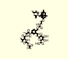 C=C(C)N(CC12CC3(C)CC(C)(C1)CC(OCCNC(=O)OCc1ccc(NC(=O)[C@H](C)NC(=O)[C@@H](NC(=O)CNC(C)=O)C(C)C)cc1CC[C@@H]1O[C@H](C(=O)O)[C@@H](O)[C@H](O)[C@H]1O)(C3)C2)/N=C\CC